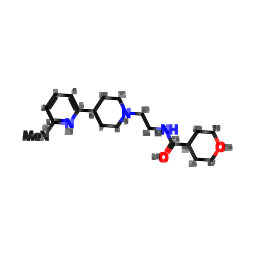 CNc1cccc(C2CCN(CCNC(=O)C3CCOCC3)CC2)n1